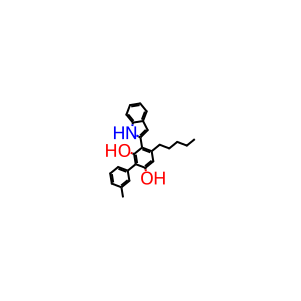 CCCCCc1cc(O)c(-c2cccc(C)c2)c(O)c1-c1cc2ccccc2[nH]1